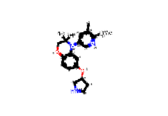 [2H]C1([2H])COc2ccc(O[C@H]3CCNC3)cc2N1c1cnc(OC)c(C)c1